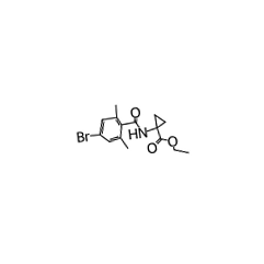 CCOC(=O)C1(NC(=O)c2c(C)cc(Br)cc2C)CC1